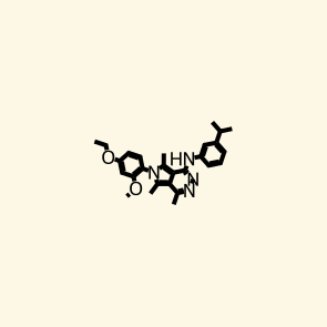 CCOc1ccc(-n2c(C)c3c(C)nnc(Nc4cccc(C(C)C)c4)c3c2C)c(OC)c1